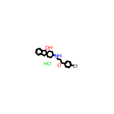 CCc1ccc(C(=O)CCNC2CCC3(CC2)Cc2ccccc2C3O)cc1.Cl